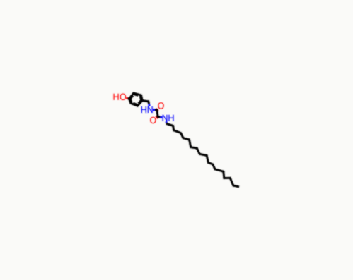 CCCCCCCCCCCCCCCCCCNC(=O)C(=O)NCc1ccc(O)cc1